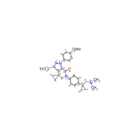 CCOC(=O)c1nn(-c2ccc(OC)cc2)c2c1C1(CC1)CN(c1ccc(C3(CN(C)C)CC3)cc1)C2=O